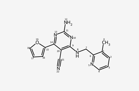 Cc1cccnc1CNc1nc(N)nc(-c2ccco2)c1C#N